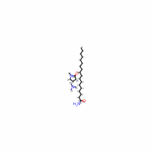 CCCCCCCCCCCCCCCCCC(N)=O.CN(C)C.CN1CCCC1=O